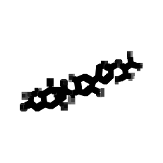 O=C(Nc1cc(Cl)c(-c2ccc(OC(C(F)F)C(F)F)nc2)cc1F)N1[C@H]2CC[C@@H]1c1n[nH]c(=O)cc1C2